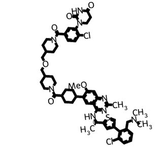 COc1cc2nc(C)nc(N[C@H](C)c3cc(-c4c(Cl)cccc4CN(C)C)cs3)c2cc1C1CCC(C(=O)N2CCC(COCC3CCN(C(=O)c4ccc(Cl)c(N5CCC(=O)NC5=O)c4)CC3)CC2)CC1